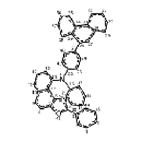 c1ccc(-c2nc3c(ccc4cccc(N(c5ccccc5)c5ccc(-c6cc7ccccc7c7ccccc67)cc5)c43)o2)cc1